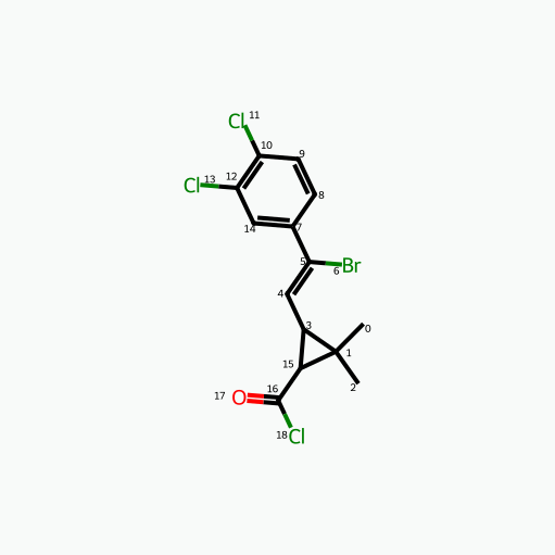 CC1(C)C(C=C(Br)c2ccc(Cl)c(Cl)c2)C1C(=O)Cl